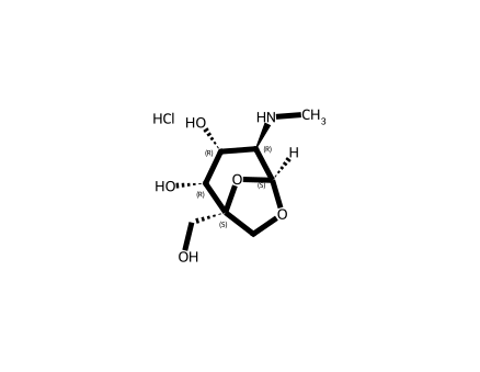 CN[C@H]1[C@H]2OC[C@](CO)(O2)[C@H](O)[C@@H]1O.Cl